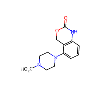 O=C1Nc2cccc(N3CCN(C(=O)O)CC3)c2CO1